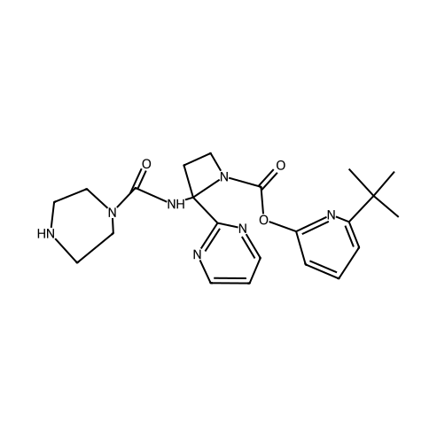 CC(C)(C)c1cccc(OC(=O)N2CCC2(NC(=O)N2CCNCC2)c2ncccn2)n1